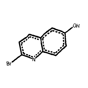 Oc1ccc2nc(Br)ccc2c1